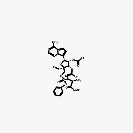 CCC(=O)O[C@H]1[C@H](c2ccc3c(N)ncnn23)O[C@](CF)(COP(=O)(N[C@@H](C)C(=O)OC)Oc2ccccc2)[C@H]1OC(=O)CC